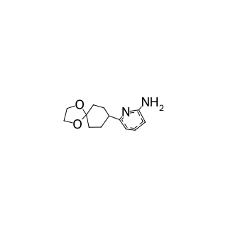 Nc1cccc(C2CCC3(CC2)OCCO3)n1